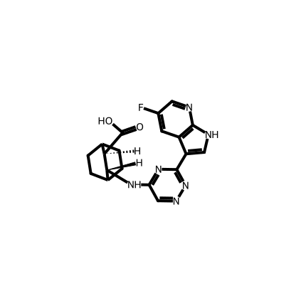 O=C(O)[C@@H]1C2CCC(CC2)[C@H]1Nc1cnnc(-c2c[nH]c3ncc(F)cc23)n1